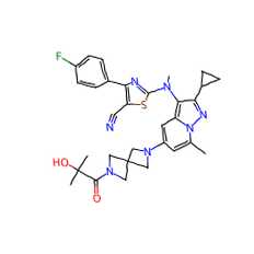 Cc1cc(N2CC3(CN(C(=O)C(C)(C)O)C3)C2)cc2c(N(C)c3nc(-c4ccc(F)cc4)c(C#N)s3)c(C3CC3)nn12